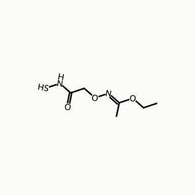 CCO/C(C)=N/OCC(=O)NS